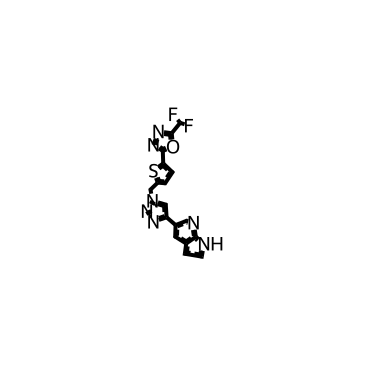 FC(F)c1nnc(-c2ccc(Cn3cc(-c4cnc5[nH]ccc5c4)nn3)s2)o1